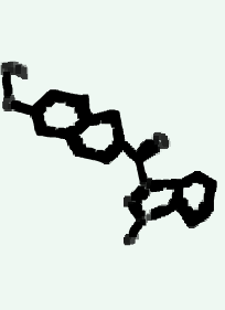 CCCCCCCCOc1ccc2cc(C(=O)n3n[n+]([O-])c4ccccc43)ccc2c1